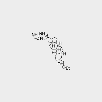 CCOC[C@@]1(O)CC[C@H]2[C@H](CC[C@@H]3[C@@H]2CC[C@]2(C)[C@@H](C(C)CN(N)/C=C\N)CC[C@@H]32)C1